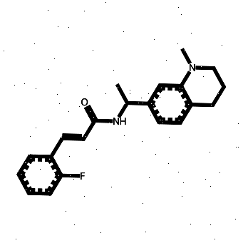 CC(NC(=O)C=Cc1ccccc1F)c1ccc2c(c1)N(C)CCC2